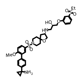 CCS(=O)(=O)c1cccc(OC[C@@H](O)CN[C@@H]2COC3(CCN(S(=O)(=O)c4ccc(OC)c(-c5ccc(C6(N)CC6)cc5)c4)CC3)C2)c1